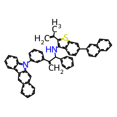 C=C(C)c1sc2cc(-c3ccc4ccccc4c3)ccc2c1NC(C(=C)c1cccc(-n2c3ccccc3c3cc4ccccc4cc32)c1)c1ccccc1